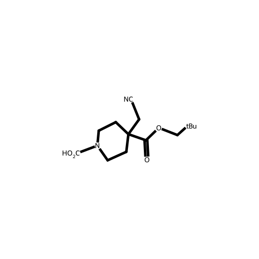 CC(C)(C)COC(=O)C1(CC#N)CCN(C(=O)O)CC1